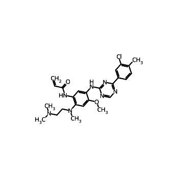 C=CC(=O)Nc1cc(Nc2ncnc(-c3ccc(C)c(Cl)c3)n2)c(OC)cc1N(C)CCN(C)C